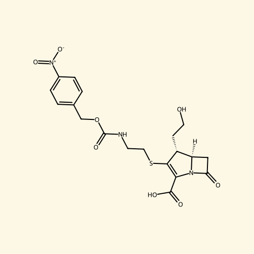 O=C(NCCSC1=C(C(=O)O)N2C(=O)C[C@@H]2[C@H]1CCO)OCc1ccc([N+](=O)[O-])cc1